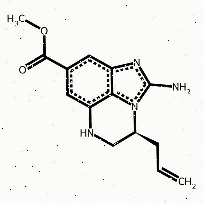 C=CC[C@H]1CNc2cc(C(=O)OC)cc3nc(N)n1c23